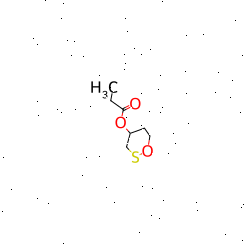 CCC(=O)OC1CCOSC1